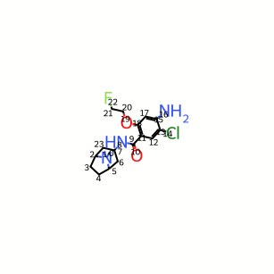 CN1C2CCC1CC(NC(=O)c1cc(Cl)c(N)cc1OCCF)C2